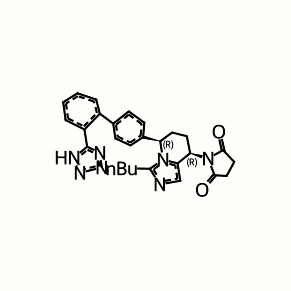 CCCCc1ncc2n1[C@@H](c1ccc(-c3ccccc3-c3nnn[nH]3)cc1)CC[C@H]2N1C(=O)CCC1=O